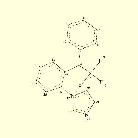 FC(F)(F)C(c1ccccc1)c1ccccc1-n1ccnc1